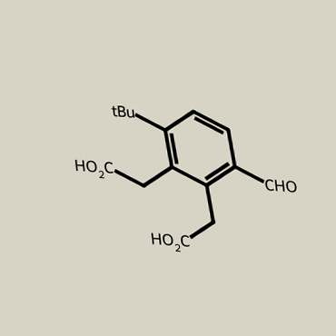 CC(C)(C)c1ccc(C=O)c(CC(=O)O)c1CC(=O)O